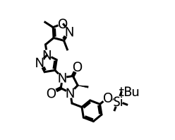 Cc1noc(C)c1Cn1cc(N2C(=O)[C@@H](C)N(Cc3cccc(O[Si](C)(C)C(C)(C)C)c3)C2=O)cn1